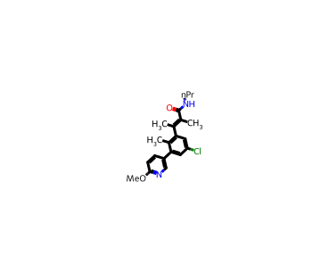 CCCNC(=O)/C(C)=C(\C)c1cc(Cl)cc(-c2ccc(OC)nc2)c1C